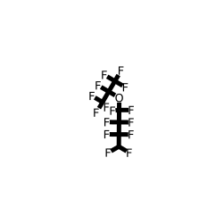 FC(F)C(F)(F)C(F)(F)C(F)(F)OC(F)(C(F)(F)F)C(F)(F)F